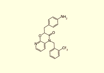 Nc1ccc(CC2Oc3ncccc3N(Cc3ccccc3C(F)(F)F)C2=O)cc1